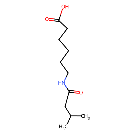 CC(C)CC(=O)NCCCCCC(=O)O